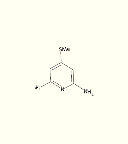 CSc1cc(N)nc(C(C)C)c1